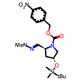 CNN=C[C@@H]1C[C@@H](O[Si](C)(C)C(C)(C)C)CN1C(=O)OCc1ccc([N+](=O)[O-])cc1